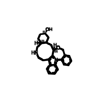 O[C@H]1CC[C@H]2CNCCc3c4n(c5ccccc35)-c3ccccc3CO[C@@H]4CC2C1